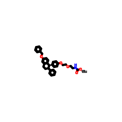 CC(C)(C)OC(=O)NCCOCCOc1ccc([C@@H]2c3ccc(OCc4ccccc4)cc3CCC2c2ccccc2)cc1